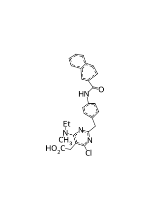 CCN(C)c1nc(Cc2ccc(NC(=O)c3ccc4ccccc4c3)cc2)nc(Cl)c1CC(=O)O